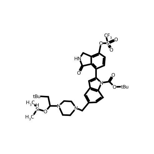 C[SiH](C)OC(CC(C)(C)C)N1CCN(Cc2ccc3c(c2)cc(-c2ccc(OS(=O)(=O)C(F)(F)F)c4c2C(=O)NC4)n3C(=O)OC(C)(C)C)CC1